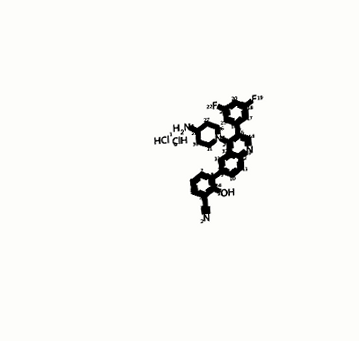 Cl.Cl.N#Cc1cccc(-c2ccc3ncc(-c4cc(F)cc(F)c4)c(N4CCC(N)CC4)c3c2)c1O